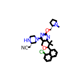 CN1CCC[C@H]1COc1nc(N2CCN[C@@H](CC#N)C2)c2c(n1)C(C)(C)C(c1cccc3cccc(Cl)c13)OC2